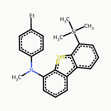 CCc1ccc(N(C)c2cccc3c2sc2c([Si](C)(C)C)cccc23)cc1